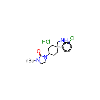 CCCCN1CCN(C2CCC(CN)(c3cccc(Cl)c3)CC2)C1=O.Cl